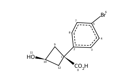 O=C(O)[C@]1(c2ccc(Br)cc2)C[C@H](O)C1